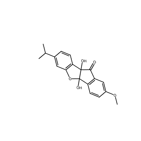 COc1ccc2c(c1)C(=O)C1(O)c3ccc(C(C)C)cc3OC21O